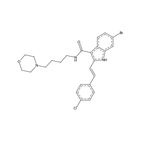 O=C(NCCCCN1CCOCC1)c1c(C=Cc2ccc(Cl)cc2)[nH]c2cc(Br)ccc12